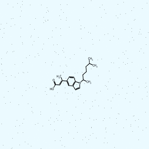 CC(=CC(=O)O)c1ccc2c(ccn2C(C)CCCC(C)C)c1